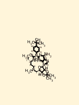 CC[C@@H](CCN(C)C[C@H]1O[C@@H](n2cnc3c(N)ncnc32)[C@@H]2OC(C)(C)O[C@@H]21)NC(=O)Nc1ccc(C(C)(C)C)cc1